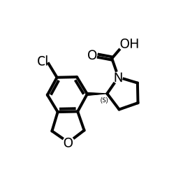 O=C(O)N1CCC[C@H]1c1cc(Cl)cc2c1COC2